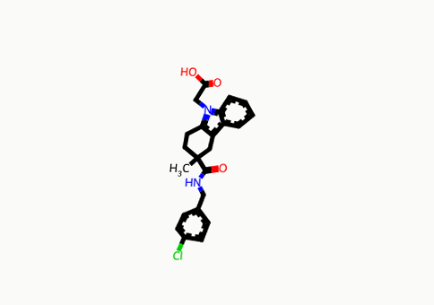 CC1(C(=O)NCc2ccc(Cl)cc2)CCc2c(c3ccccc3n2CC(=O)O)C1